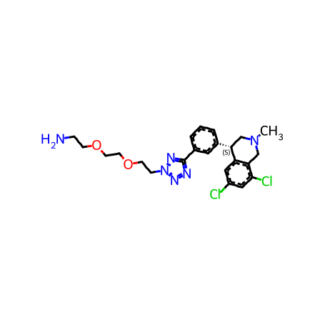 CN1Cc2c(Cl)cc(Cl)cc2[C@H](c2cccc(-c3nnn(CCOCCOCCN)n3)c2)C1